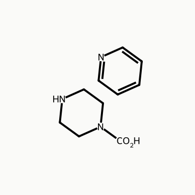 O=C(O)N1CCNCC1.c1ccncc1